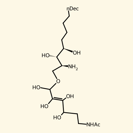 CCCCCCCCCCCCCC[C@@H](O)[C@@H](O)[C@@H](N)COC(O)/C(O)=C(\O)C(O)CCNC(C)=O